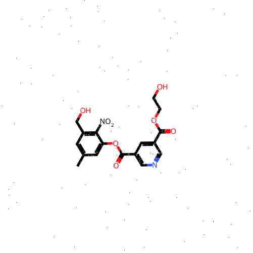 Cc1cc(CO)c([N+](=O)[O-])c(OC(=O)c2cncc(C(=O)OCCO)c2)c1